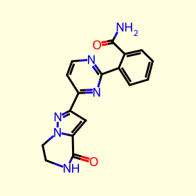 NC(=O)c1ccccc1-c1nccc(-c2cc3n(n2)CCNC3=O)n1